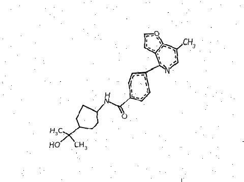 Cc1cnc(-c2ccc(C(=O)NC3CCC(C(C)(C)O)CC3)cc2)c2ccoc12